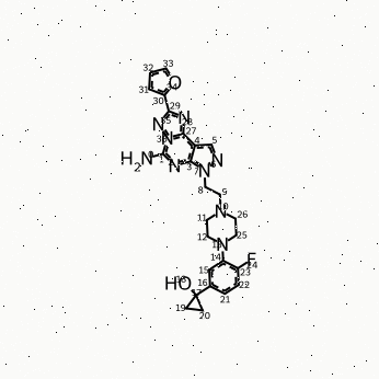 Nc1nc2c(cnn2CCN2CCN(c3cc(C4(O)CC4)ccc3F)CC2)c2nc(-c3ccco3)nn12